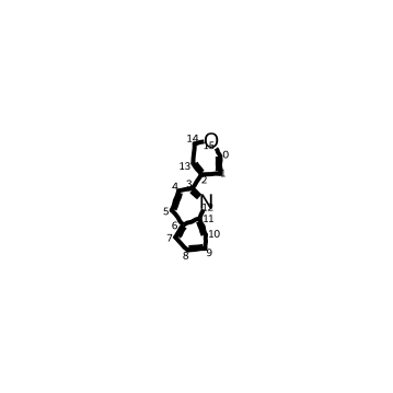 C1=CC(c2ccc3ccccc3n2)=CCO1